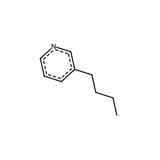 [CH2]CCCc1cccnc1